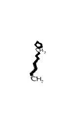 C1=CCCC1.CCCCCCCC